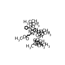 CCOC(=O)/C=C/c1nc(N(C(=O)OC(C)(C)C)C2CCCC2)c2cnn([C@@H]3O[C@H](COC(C)(C(=O)OCC)P(C)(=O)OCC)[C@H]4OC(C)(C)O[C@H]43)c2n1